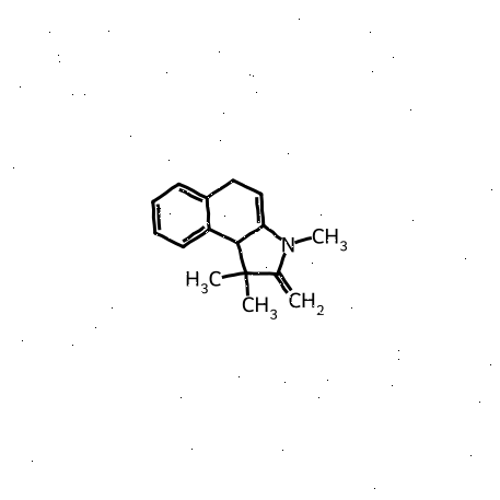 C=C1N(C)C2=CCc3ccccc3C2C1(C)C